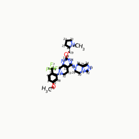 COc1ccc(C(F)(F)F)c(N2CCc3c(nc(OC[C@@H]4CCCN4C)nc3N3CCn4cncc4C3)C2)c1